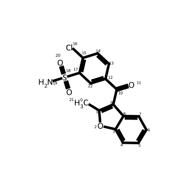 Cc1oc2ccccc2c1C(=O)c1ccc(Cl)c(S(N)(=O)=O)c1